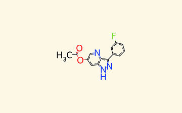 CC(=O)Oc1cnc2c(-c3cccc(F)c3)n[nH]c2c1